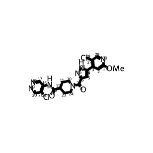 COc1cc(-c2cc(C(=O)N3CCC(C(=O)Nc4cnncc4Cl)CC3)n[nH]2)c(Cl)cn1